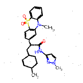 CC1CCC(CC(C(=O)Nc2ccn(C)n2)c2ccc3c(c2)N(C)c2ccccc2S3(=O)=O)CC1